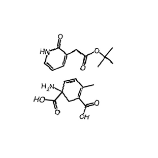 CC(C)(C)OC(=O)Cc1ccc[nH]c1=O.CC1=C(C(=O)O)CC(N)(C(=O)O)C=C1